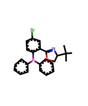 CC(C)(C)C1COC(c2cc(Br)ccc2P(c2ccccc2)c2ccccc2)=N1